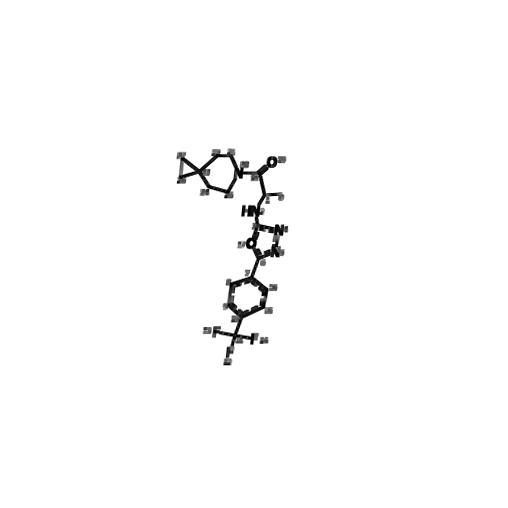 CC(Nc1nnc(-c2ccc(C(F)(F)F)cc2)o1)C(=O)N1CCC2(CC1)CC2